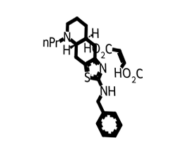 CCCN1CCC[C@H]2Cc3nc(NCc4ccccc4)sc3C[C@@H]21.O=C(O)/C=C\C(=O)O